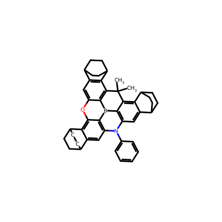 CC1(C)c2c3c(cc4c2C2CCC4CC2)Oc2c4c(cc5c2C2CCC5CC2)N(c2ccccc2)c2cc5c(c1c2B43)C1CCC5CC1